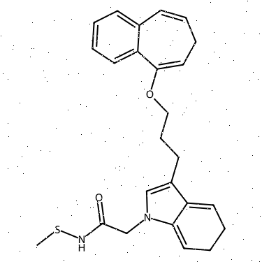 CSNC(=O)Cn1cc(CCCOC2=CCC=Cc3ccccc32)c2c1=CCCC=2